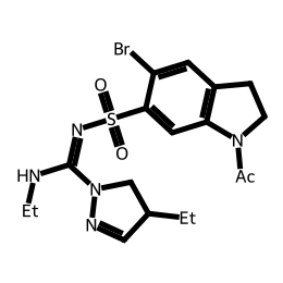 CCN/C(=N/S(=O)(=O)c1cc2c(cc1Br)CCN2C(C)=O)N1CC(CC)C=N1